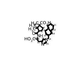 CC1(C(=O)O)CCC(C(=O)N[C@@H](Cc2cn(Cc3ccc4ccccc4c3)cn2)C(=O)O)C1(C)C